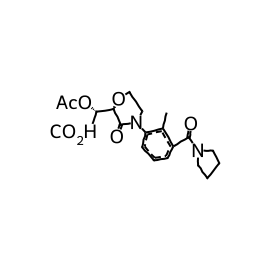 CC(=O)O[C@@H](C(=O)O)[C@H]1OCCN(c2cccc(C(=O)N3CCCC3)c2C)C1=O